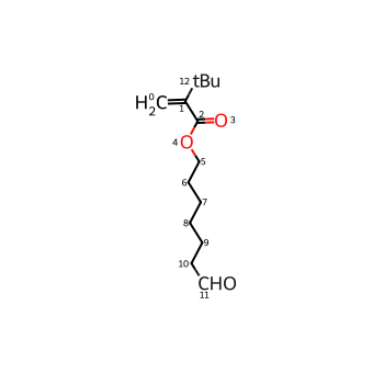 C=C(C(=O)OCCCCCCC=O)C(C)(C)C